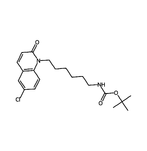 CC(C)(C)OC(=O)NCCCCCCn1c(=O)ccc2cc(Cl)ccc21